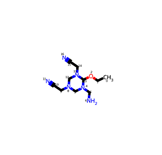 CCOC1N(CN)CN(CC#N)CN1CC#N